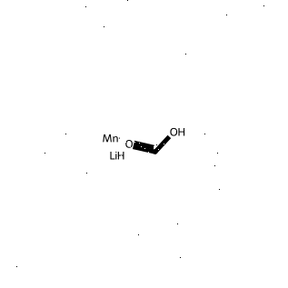 O=CO.[LiH].[Mn]